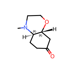 CN1CCO[C@@H]2CC(=O)CC[C@H]21